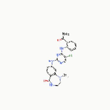 CNC(=O)c1ccccc1Nc1nc(Nc2ccc3c(c2)N(C)CCNC3=O)ncc1Cl